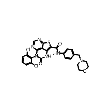 O=C(Nc1ccc(CN2CCOCC2)cc1)c1sc2ncnc3c2c1NC(=O)N3c1c(Cl)cccc1Cl